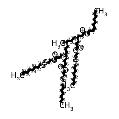 CCCCCC/C=C\COC(=O)CCN(CCCN(C)CCCN(CCCC(=O)OCCSSCCCCCCCC)CCC(=O)OCCSSCCCCCCCC)CCC(=O)OCCSSCCCCCCCC